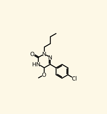 CCCCN1N=C(c2ccc(Cl)cc2)C(OC)NC1=O